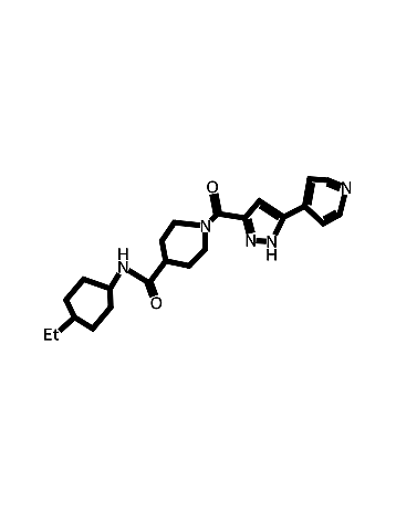 CCC1CCC(NC(=O)C2CCN(C(=O)c3cc(-c4ccncc4)[nH]n3)CC2)CC1